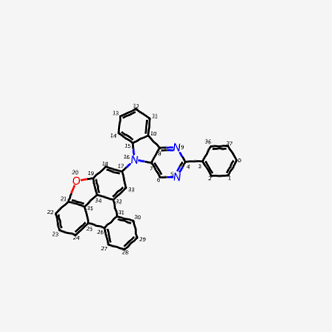 c1ccc(-c2ncc3c(n2)c2ccccc2n3-c2cc3oc4cccc5c6ccccc6c(c2)c3c45)cc1